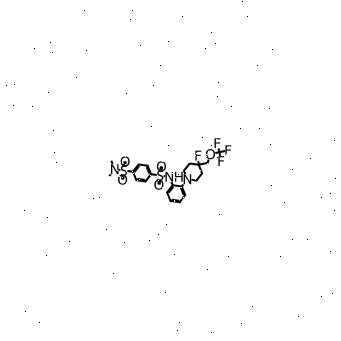 CN(C)S(=O)(=O)c1ccc(S(=O)(=O)Nc2ccccc2N2CCC(F)(COC(F)(F)F)CC2)cc1